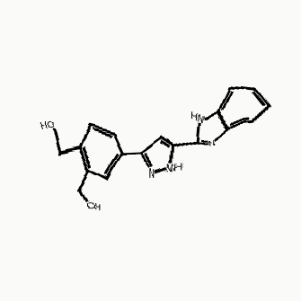 OCc1ccc(-c2cc(-c3nc4ccccc4[nH]3)[nH]n2)cc1CO